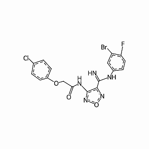 N=C(Nc1ccc(F)c(Br)c1)c1nonc1NC(=O)COc1ccc(Cl)cc1